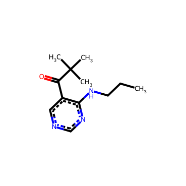 CCCNc1ncncc1C(=O)C(C)(C)C